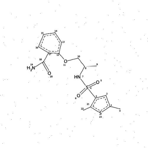 Cc1cc(S(=O)(=O)N[C@@H](C)COc2ccccc2C(N)=O)c(C)s1